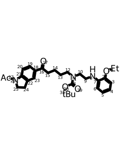 CCOc1ccccc1NCCN(CCCCC(=O)c1ccc2c(c1)CCN2C(C)=O)C(=O)OC(C)(C)C